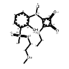 CCOc1c(N(Cl)c2cccc(S(C)(=O)=NCCOC)c2O)c(=O)c1=O